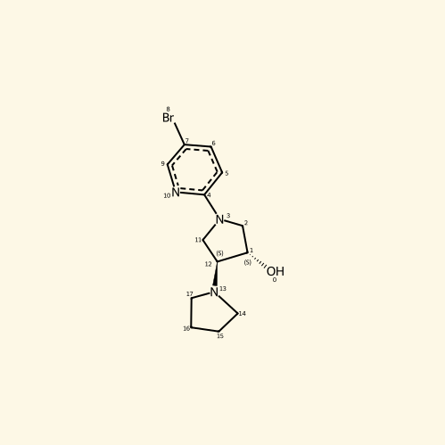 O[C@H]1CN(c2ccc(Br)cn2)C[C@@H]1N1CCCC1